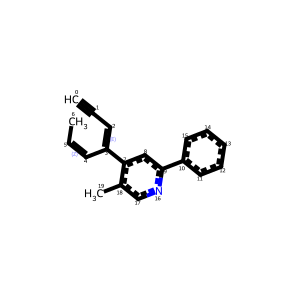 C#C/C=C(\C=C/C)c1cc(-c2ccccc2)ncc1C